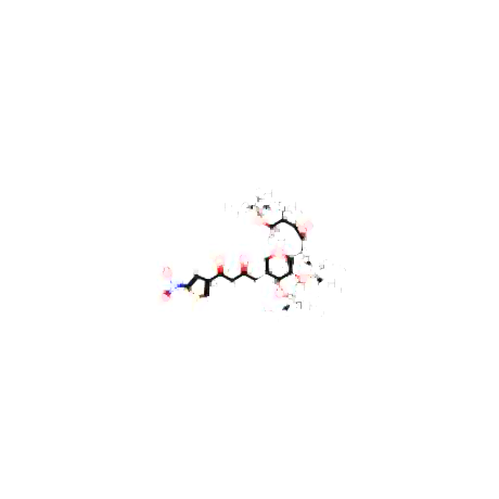 C[C@@H]([C@@H]1O[C@H]1C[C@@H]1OC[C@H](CC(=O)CC(=O)c2csc([N+](=O)[O-])c2)[C@@H](O[Si](C)(C)C)[C@@H]1O[Si](C)(C)C)[C@H](C)O[Si](C)(C)C